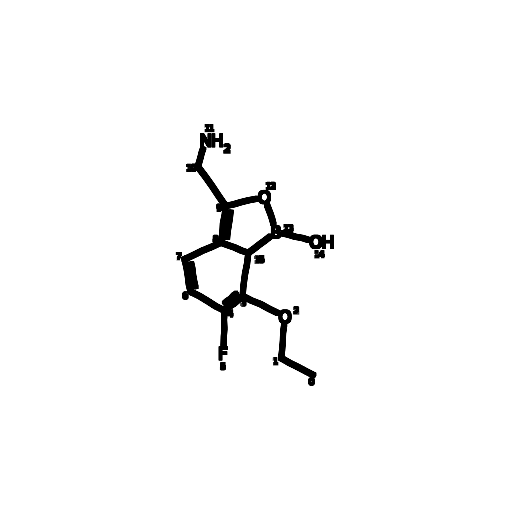 CCOC1=C(F)C=CC2=C(CN)OB(O)C21